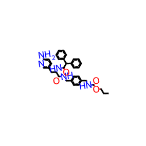 CCCOC(=O)NCc1ccc(CNC(=O)C(Cc2ccc(N)nc2)NC(=O)C(c2ccccc2)c2ccccc2)cc1